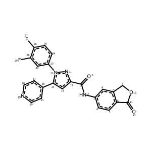 O=C(Nc1ccc2c(c1)COC2=O)c1cc(-c2ccncc2)n(-c2ccc(F)c(F)c2)n1